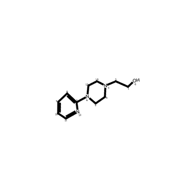 OCCN1CCN(c2cc[c]cn2)CC1